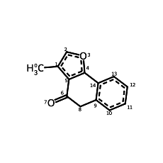 Cc1coc2c1C(=O)Cc1ccccc1-2